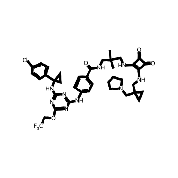 CC(C)(CNC(=O)c1ccc(Nc2nc(NC3(c4ccc(Cl)cc4)CC3)nc(OCC(F)(F)F)n2)cc1)CNc1c(NCC2(CN3CCCC3)CC2)c(=O)c1=O